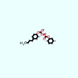 CCCCC1CCC(OC(=O)OOC(=O)OC2CCCCC2)CC1